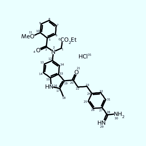 CCOC(=O)CN(C(=O)c1ccccc1OC)c1ccc2[nH]c(C)c(C(=O)CCc3ccc(C(=N)N)cc3)c2c1.Cl